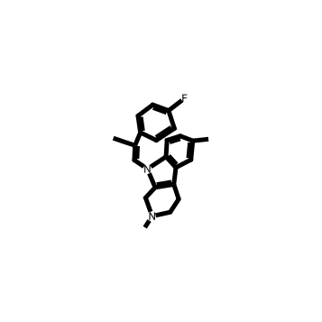 C/C(=C/n1c2c(c3cc(C)ccc31)CCN(C)C2)c1ccc(F)cc1